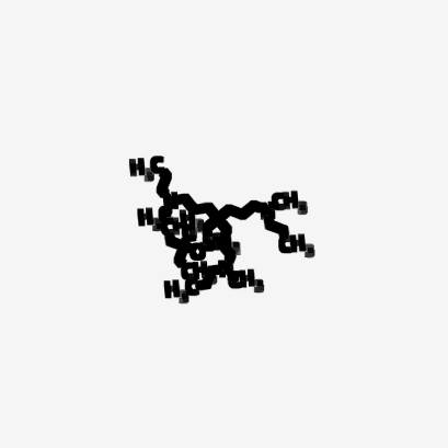 CCCN(C)CCCC(CCCN(C)CCC)(CCCN(C)CCC)C[SiH2]OC(C)(CC)CC